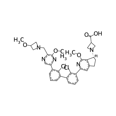 COc1nc(-c2cccc(-c3cccc(-c4cc5c(c(OC)n4)[C@H](N4CC(C(=O)O)C4)CC5)c3Cl)c2Cl)cnc1CN1CC(OC)C1